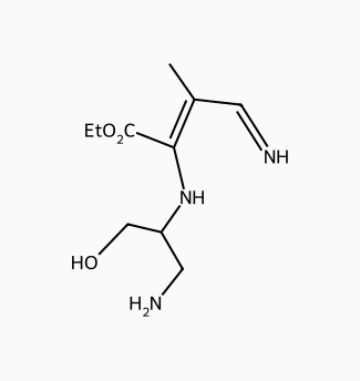 CCOC(=O)/C(NC(CN)CO)=C(\C)C=N